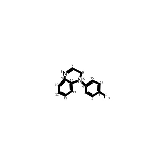 Fc1ccc(N2CC=Nc3ccccc32)cc1